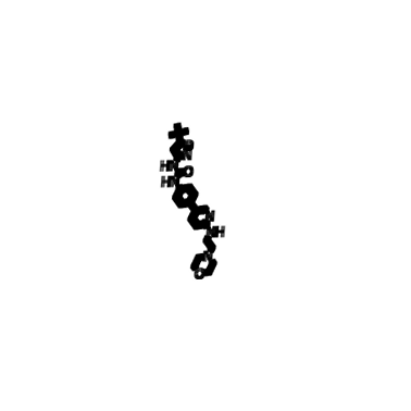 CC(C)(C)c1cc(NC(=O)Nc2ccc(-c3ccc(NCCN4CCOCC4)nc3)cc2)no1